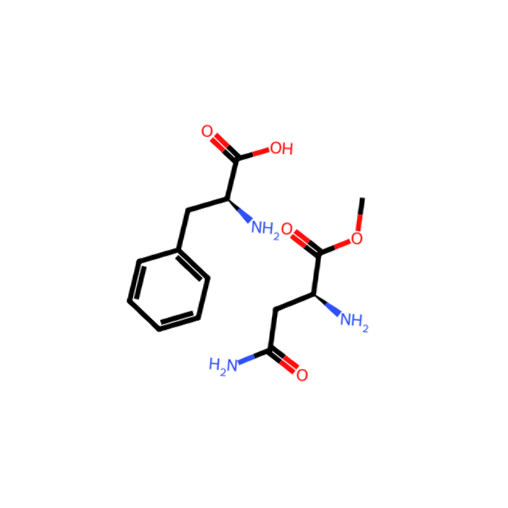 COC(=O)[C@@H](N)CC(N)=O.N[C@@H](Cc1ccccc1)C(=O)O